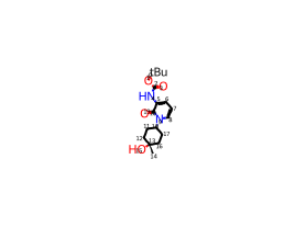 CC(C)(C)OC(=O)Nc1cccn([C@H]2CC[C@@](C)(O)CC2)c1=O